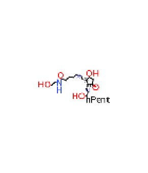 CCCCCC(O)/C=C/[C@H]1C(=O)CC(O)[C@@H]1C/C=C\CCCC(=O)NCCO